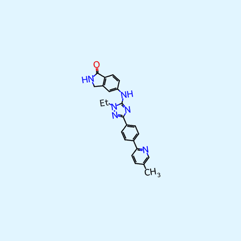 CCn1nc(-c2ccc(-c3ccc(C)cn3)cc2)nc1Nc1ccc2c(c1)CNC2=O